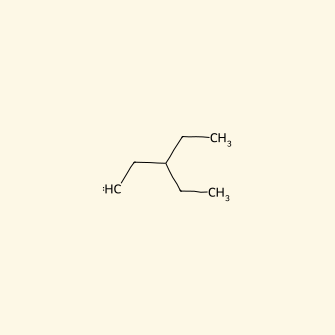 [CH]CC(CC)CC